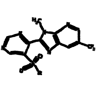 CCS(=O)(=O)c1cncnc1-c1nc2cc(C(F)(F)F)cnc2n1C